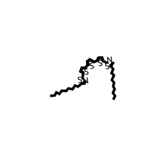 CCCCCCCCCCc1cnc(-c2ccc(-c3ccc(-c4ccc(-c5ncc(CCCCCCCCCC)s5)s4)s3)s2)s1